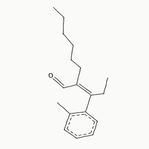 CCCCCCC(C=O)=C(CC)c1ccccc1C